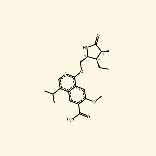 CC[C@@H]1[C@H](F)C(=O)N[C@@H]1COc1ncc(C(C)C)c2cc(C(N)=O)c(OC)cc12